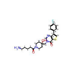 NCCCCC(=O)N1CCC(O)(Cn2cnc3c(-c4ccc(F)cc4)csc3c2=O)CC1